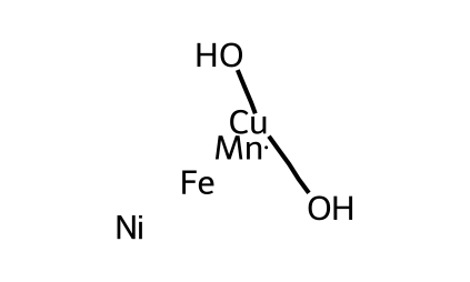 [Fe].[Mn].[Ni].[OH][Cu][OH]